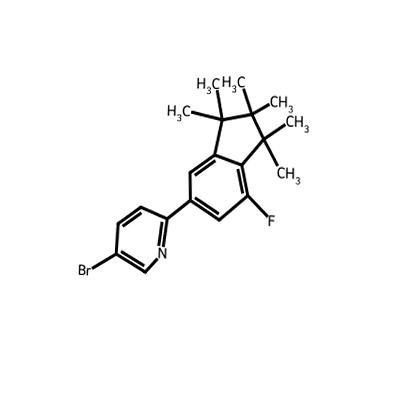 CC1(C)c2cc(-c3ccc(Br)cn3)cc(F)c2C(C)(C)C1(C)C